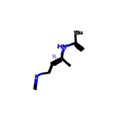 C=NC/C=C(\C)NC(=C)C(C)(C)C